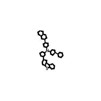 c1ccc(-c2ccc(N(c3ccc(-c4ccc5ccccc5c4)cc3)c3cccc(-c4ccc5sc6ccccc6c5c4)c3)cc2)cc1